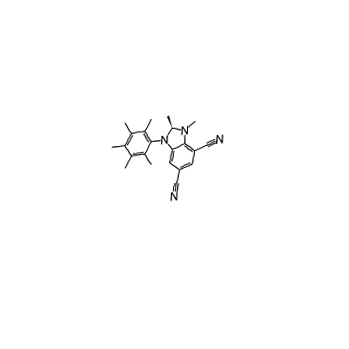 Cc1c(C)c(C)c(N2c3cc(C#N)cc(C#N)c3N(C)[C@@H]2C)c(C)c1C